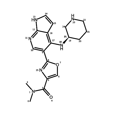 CN(C)C(=O)c1coc(-c2cnc3[nH]ccc3c2N[C@@H]2CCCNC2)n1